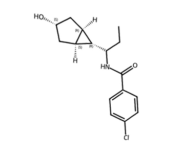 CCC(NC(=O)c1ccc(Cl)cc1)[C@H]1[C@@H]2C[C@@H](O)C[C@@H]21